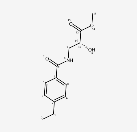 CCc1ccc(C(=O)NC[C@@H](O)C(=O)OC)cc1